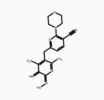 CC1=N/C(=N/O)C(=N)C(N)=C1Cc1ccc(C#N)c(N2CCOCC2)n1